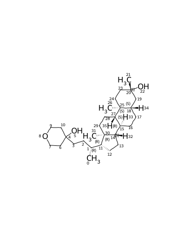 C[C@H](CCC1(O)CCOCC1)[C@H]1CC[C@H]2[C@@H]3CC[C@H]4C[C@@](C)(O)CC[C@]4(C)[C@H]3CC[C@]12C